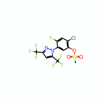 CS(=O)(=O)Oc1cc(-n2nc(C(F)(F)F)cc2C(F)(F)F)c(F)cc1Cl